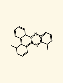 CC1CC=CC2=c3nc4c(nc3C3C=CC=CC3=C21)=CC=CC4C